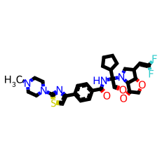 CN1CCN(c2nc(-c3ccc(C(=O)NC(C=O)(C4CCCC4)N4CC(C=C(F)F)C5OCC(=O)C54)cc3)cs2)CC1